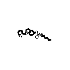 CCCCCCNC(=O)Oc1ccc2c(c1)CCN2Cc1ccccn1